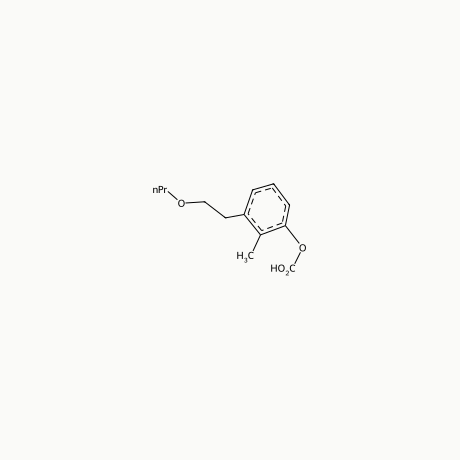 CCCOCCc1cccc(OC(=O)O)c1C